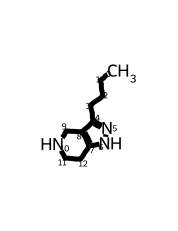 CCCCc1n[nH]c2c1CNCC2